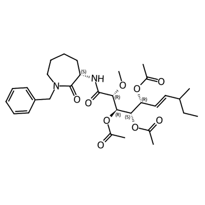 CCC(C)C=C[C@@H](OC(C)=O)[C@H](OC(C)=O)[C@@H](OC(C)=O)[C@@H](OC)C(=O)N[C@H]1CCCCN(Cc2ccccc2)C1=O